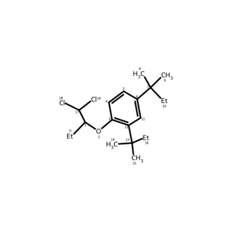 CCC(Oc1ccc(C(C)(C)CC)cc1C(C)(C)CC)C(Cl)Cl